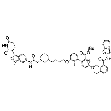 Cc1c(OCCCC[C@@H]2CCCN(CC(=O)Nc3ccc4c(C5CCC(=O)NC5=O)nn(C)c4c3)C2)cccc1-c1ccc(N2CCc3cccc(C(=O)Nc4nc5ccccc5s4)c3C2)nc1C(=O)OC(C)(C)C